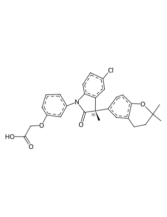 CC1(C)CCc2cc([C@]3(C)C(=O)N(c4cccc(OCC(=O)O)c4)c4ccc(Cl)cc43)ccc2O1